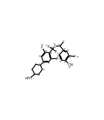 CCCC1CCC(c2cc(F)c(C(F)(F)OC(C)c3ccc(C#N)c(F)c3)c(F)c2)CC1